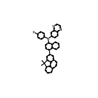 CC1(C)c2cccc3ccc4cc(-c5ccc(N(c6ccc(F)cc6)c6ccc7nccnc7c6)c6ccccc56)cc1c4c23